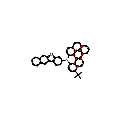 CC(C)(C)c1ccc(N(c2ccc3c(c2)oc2cc4ccccc4cc23)c2ccc3ccccc3c2-c2ccccc2-c2ccccc2)c(-c2ccccc2)c1